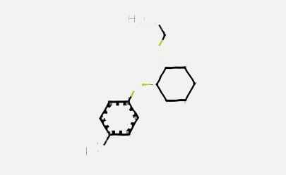 O=C(O)CS[C@@H]1CCCC[C@H]1Sc1ccc(C(F)(F)F)cc1